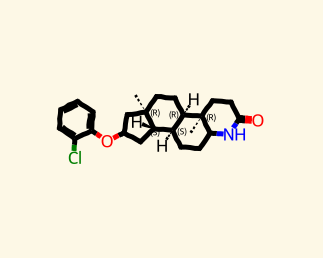 C[C@]12CC[C@@H]3[C@@H](CCC4NC(=O)CC[C@@]43C)[C@@H]1CC(Oc1ccccc1Cl)C2